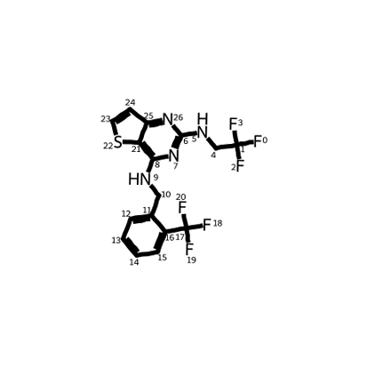 FC(F)(F)CNc1nc(NCc2ccccc2C(F)(F)F)c2sccc2n1